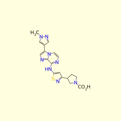 Cn1cc(-c2cnc3c(Nc4cc(C5CCN(C(=O)O)C5)ns4)nccn23)cn1